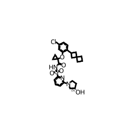 O=C(NS(=O)(=O)c1cccc(N2CC[C@H](O)C2)n1)C1(Oc2cc(Cl)ccc2C2CC3(CCC3)C2)CC1